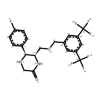 O=C1CN[C@@H](c2ccc(F)cc2)[C@@H](COCc2cc(C(F)(F)F)cc(C(F)(F)F)c2)N1